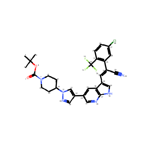 CC(C)(C)OC(=O)N1CCC(n2cc(-c3cnc4[nH]cc(C=C(C#N)c5cc(Cl)ccc5C(F)(F)F)c4c3)cn2)CC1